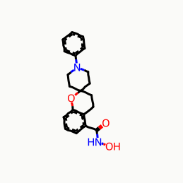 O=C(NO)c1cccc2c1CCC1(CCN(c3ccccc3)CC1)O2